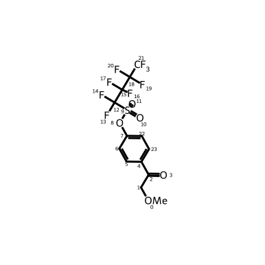 COCC(=O)c1ccc(OS(=O)(=O)C(F)(F)C(F)(F)C(F)(F)C(F)(F)F)cc1